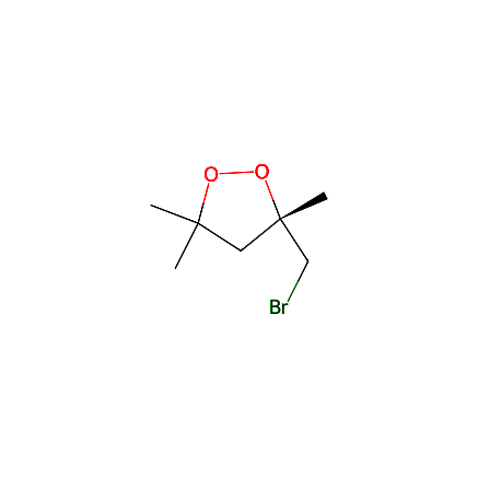 CC1(C)C[C@@](C)(CBr)OO1